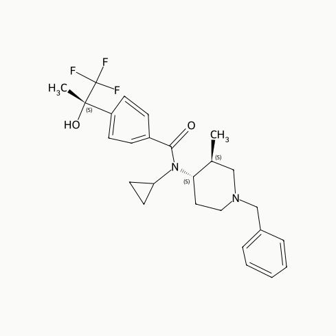 C[C@H]1CN(Cc2ccccc2)CC[C@@H]1N(C(=O)c1ccc([C@](C)(O)C(F)(F)F)cc1)C1CC1